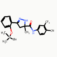 CC1(C(=O)Nc2ccc(C#N)c(C(F)(F)F)c2)CC(c2ccccc2O[Si](C)(C)C(C)(C)C)=NN1